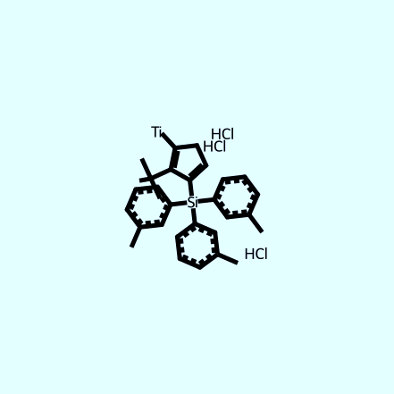 Cc1cccc([Si](C2=CC[C]([Ti])=C2C(C)(C)C)(c2cccc(C)c2)c2cccc(C)c2)c1.Cl.Cl.Cl